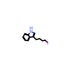 ICCCCc1c[nH]c2ccccc12